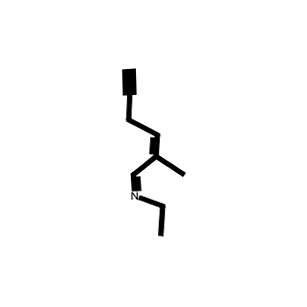 C#CC/C=C(C)\C=N/CC